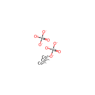 [Co+2].[Co+2].[Co+2].[O]=[V]([O-])([O-])[O-].[O]=[V]([O-])([O-])[O-]